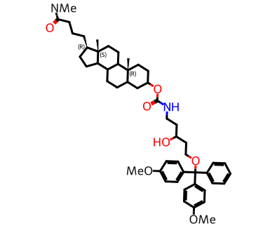 CNC(=O)CCC[C@@H]1CCC2C3CCC4CC(OC(=O)NCCC(O)CCOC(c5ccccc5)(c5ccc(OC)cc5)c5ccc(OC)cc5)CC[C@@]4(C)C3CC[C@]21C